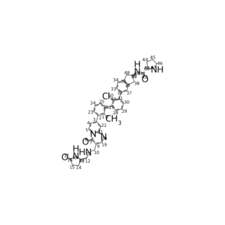 Cc1c(-c2ccn3c(=O)c(CNC[C@H]4CCC(=O)N4)cnc3c2)cccc1-c1cccc(-c2ccc3c(c2)C[C@H](NC(=O)[C@@H]2CCCN2)C3)c1Cl